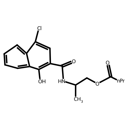 CCCC(=O)OCC(C)NC(=O)c1cc(Cl)c2ccccc2c1O